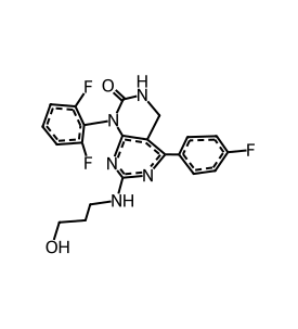 O=C1NCc2c(-c3ccc(F)cc3)nc(NCCCO)nc2N1c1c(F)cccc1F